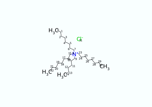 CCCCCCCC[N+](CCCCCC)(CCCCCCCC)CCCCCCCC.[Cl-]